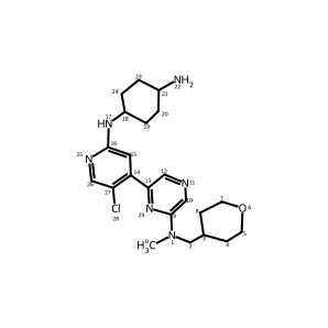 CN(CC1CCOCC1)c1cncc(-c2cc(NC3CCC(N)CC3)ncc2Cl)n1